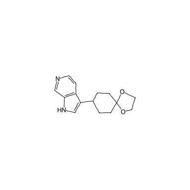 c1cc2c(C3CCC4(CC3)OCCO4)c[nH]c2cn1